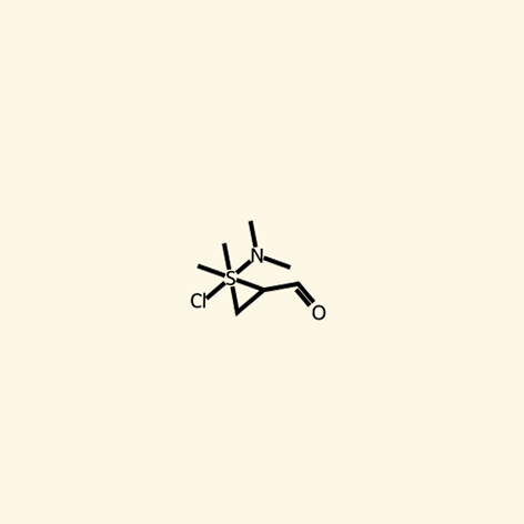 CN(C)S1(C)(C)(Cl)CC1C=O